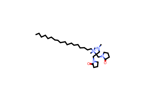 CCCCCCCCCCCCCCCCCC[N+](C)(C)C(CNC)(CN1CCCC1=O)CN1CCCC1=O